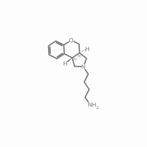 NCCCCN1C[C@@H]2COc3ccccc3[C@H]2C1